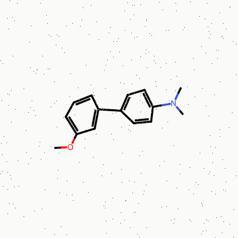 COc1cc[c]c(-c2ccc(N(C)C)cc2)c1